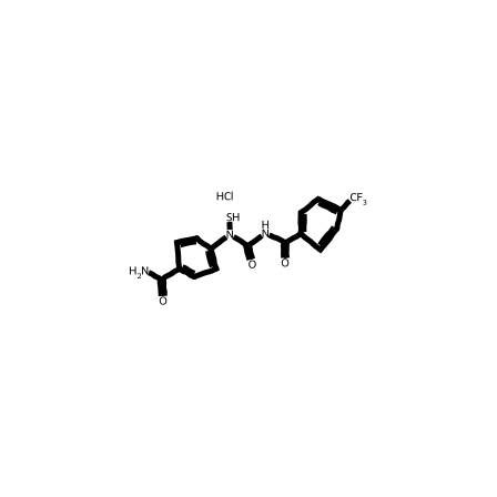 Cl.NC(=O)c1ccc(N(S)C(=O)NC(=O)c2ccc(C(F)(F)F)cc2)cc1